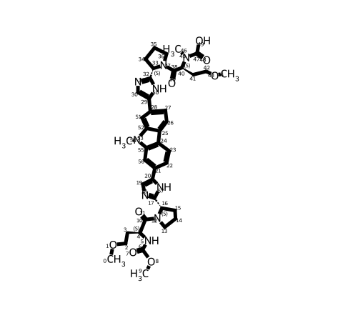 COCC[C@H](NC(=O)OC)C(=O)N1CCC[C@H]1c1ncc(-c2ccc3c4ccc(-c5cnc([C@@H]6CCCN6C(=O)[C@H](CCOC)N(C)C(=O)O)[nH]5)cc4n(C)c3c2)[nH]1